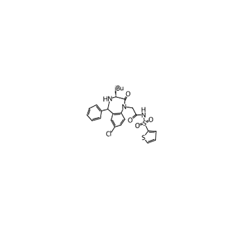 CCC(C)[C@@H]1NC(c2ccccc2)c2cc(Cl)ccc2N(CC(=O)NS(=O)(=O)c2cccs2)C1=O